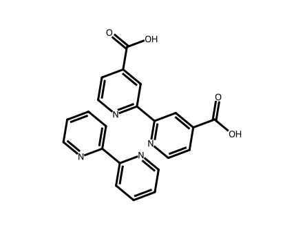 O=C(O)c1ccnc(-c2cc(C(=O)O)ccn2)c1.c1ccc(-c2ccccn2)nc1